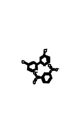 Clc1ccnc(-c2cc(Cl)ccn2)c1.O=[N+]([O-])c1cccc([N+](=O)[O-])c1